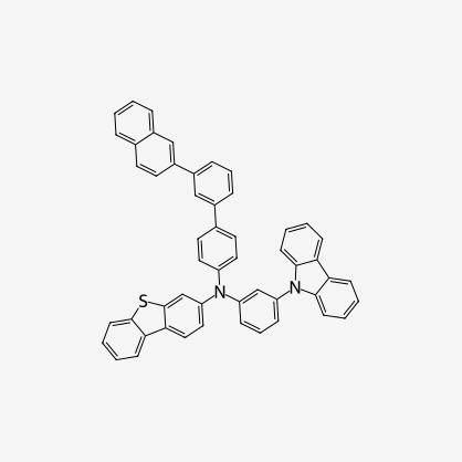 c1cc(-c2ccc(N(c3cccc(-n4c5ccccc5c5ccccc54)c3)c3ccc4c(c3)sc3ccccc34)cc2)cc(-c2ccc3ccccc3c2)c1